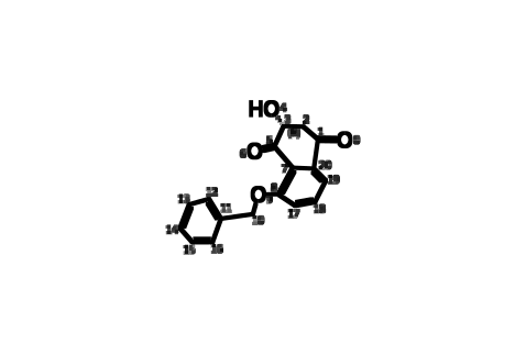 O=C1C[C@@H](O)C(=O)c2c(OCc3ccccc3)cccc21